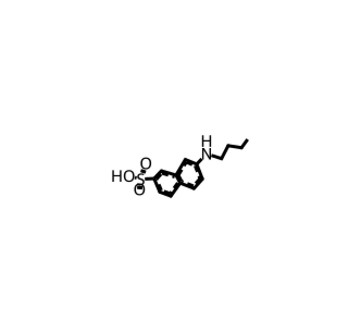 CCCCNc1ccc2ccc(S(=O)(=O)O)cc2c1